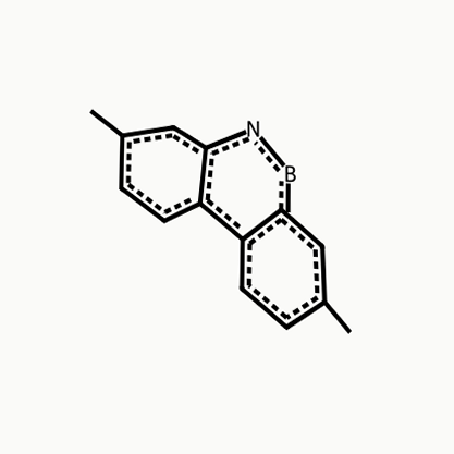 Cc1ccc2c(bnc3cc(C)ccc32)c1